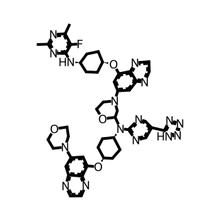 Cc1nc(C)c(F)c(N[C@H]2CC[C@@H](Oc3cc(N4CCOC(N(c5ncc(-c6nnn[nH]6)cn5)[C@H]5CC[C@@H](Oc6cc(N7CCOCC7)cc7nccnc67)CC5)C4)cc4nccnc34)CC2)n1